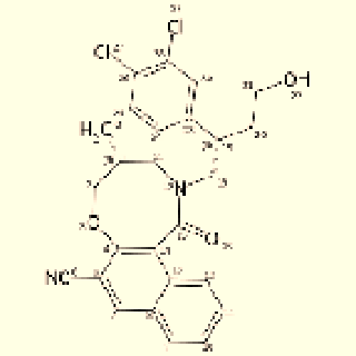 C[C@H]1COc2c(C#N)cc3ccccc3c2C(=O)N(C[C@@H](CCO)c2ccc(Cl)c(Cl)c2)C1